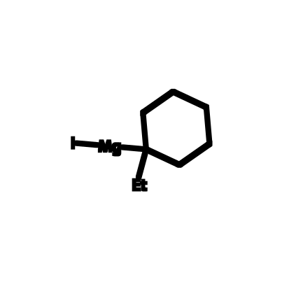 CC[C]1([Mg][I])CCCCC1